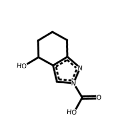 O=C(O)n1cc2c(n1)CCCC2O